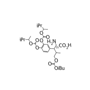 CC(C)COC(=O)OCC(C)C(c1ccc(OC(=O)OC(C)C(C)C)c(OC(=O)OC(C)C(C)C)c1)[C@H](N)C(=O)O